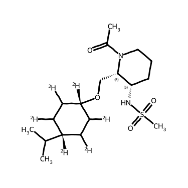 [2H]C1C([2H])[C@]([2H])(C(C)C)C([2H])C([2H])[C@]1([2H])OC[C@H]1[C@@H](NS(C)(=O)=O)CCCN1C(C)=O